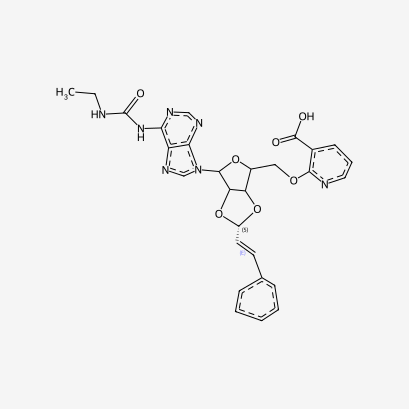 CCNC(=O)Nc1ncnc2c1ncn2C1OC(COc2ncccc2C(=O)O)C2O[C@H](/C=C/c3ccccc3)OC21